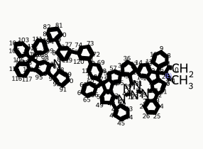 C=C/C(=C\C)C1(c2ccccc2)c2ccccc2-c2c1ccc1c3ccccc3n(-c3nc(-c4ccccc4)nc(-n4c5ccccc5c5ccc6c(c54)-c4ccccc4C6(c4ccccc4)c4ccc(-c5cccc(-c6cc(-c7ccccc7)cc(-n7c8ccccc8c8cc9c(cc87)C(c7ccccc7)(c7ccccc7)c7ccccc7-9)c6)c5)cc4)n3)c21